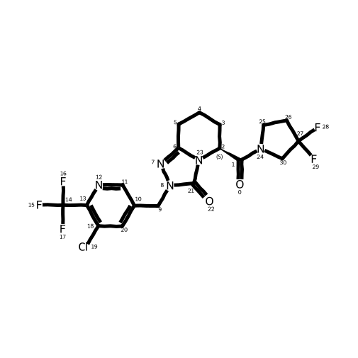 O=C([C@@H]1CCCc2nn(Cc3cnc(C(F)(F)F)c(Cl)c3)c(=O)n21)N1CCC(F)(F)C1